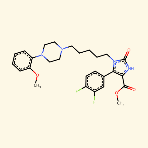 COC(=O)c1[nH]c(=O)n(CCCCCN2CCN(c3ccccc3OC)CC2)c1-c1ccc(F)c(F)c1